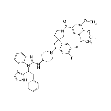 COc1cc(C(=O)N2CCC(CCN3CCC(Nc4nc5ccccc5n4C(Cc4ccccc4)c4ncc[nH]4)CC3)(c3ccc(F)c(F)c3)C2)cc(OC)c1OC